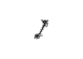 O=C(OCCCCCCCCNS(=O)(=O)C(F)(F)F)c1cc(I)cc(I)c1I